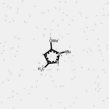 COc1cc(C)nn1C(C)(C)C